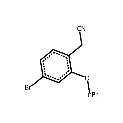 CCCOc1cc(Br)ccc1CC#N